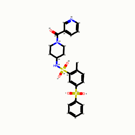 Cc1ccc(S(=O)(=O)c2ccccc2)cc1S(=O)(=O)NC1CCN(C(=O)c2cccnc2)CC1